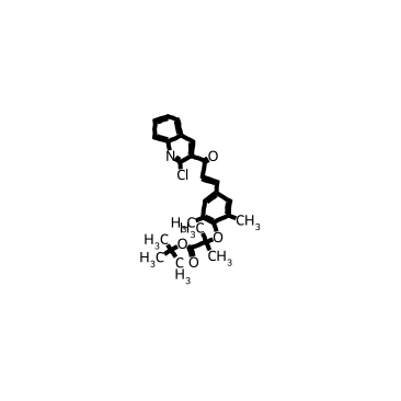 Cc1cc(/C=C/C(=O)c2cc3ccccc3nc2Cl)cc(C)c1OC(C)(C)C(=O)OC(C)(C)C